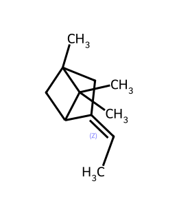 C/C=C1/CC2(C)CC1C2(C)C